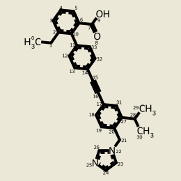 CCc1cccc(C(=O)O)c1-c1ccc(C#Cc2ccc(Cn3ccnc3)c(C(C)C)c2)cc1